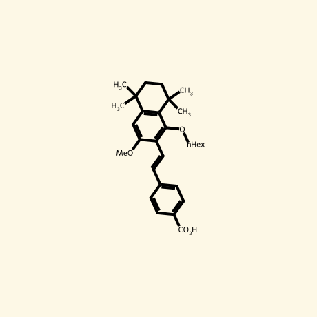 CCCCCCOc1c(C=Cc2ccc(C(=O)O)cc2)c(OC)cc2c1C(C)(C)CCC2(C)C